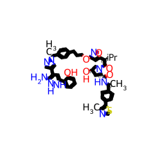 Cc1ncsc1-c1ccc([C@H](C)NC(=O)[C@@H]2C[C@@H](O)CN2C(=O)[C@@H](c2cc(OCCCc3ccc(C(C)n4cc(C5=C(N)NNC(c6ccccc6O)=C5)cn4)cc3)no2)C(C)C)cc1